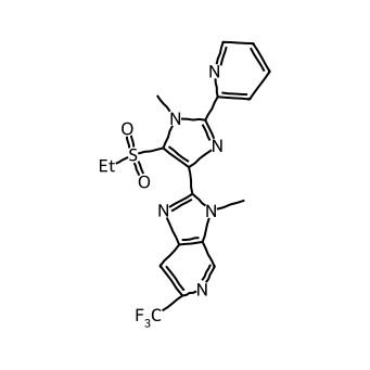 CCS(=O)(=O)c1c(-c2nc3cc(C(F)(F)F)ncc3n2C)nc(-c2ccccn2)n1C